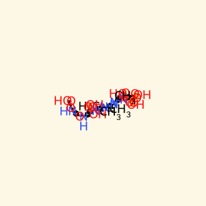 Cc1cc(N=Nc2cc(C)c(N=Nc3c(S(=O)(=O)O)cc4cc(NCOc5ccc(NCOCCC(=O)O)cc5)ccc4c3O)cc2C)ccc1N=Nc1ccc(N=Nc2cc3c(S(=O)(=O)O)cc(S(=O)(=O)O)cc3cc2S(=O)(=O)O)c(C)c1